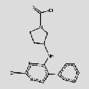 O=C(O)N1CCC(Nc2nc(Cl)ncc2-c2ccccc2)C1